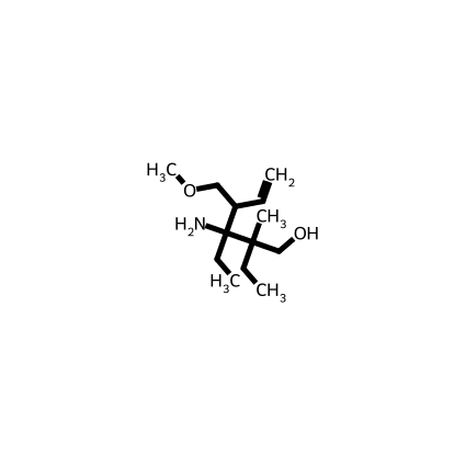 C=CC(COC)C(N)(CC)C(C)(CC)CO